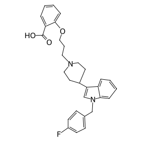 O=C(O)c1ccccc1OCCCN1CCC(c2cn(Cc3ccc(F)cc3)c3ccccc23)CC1